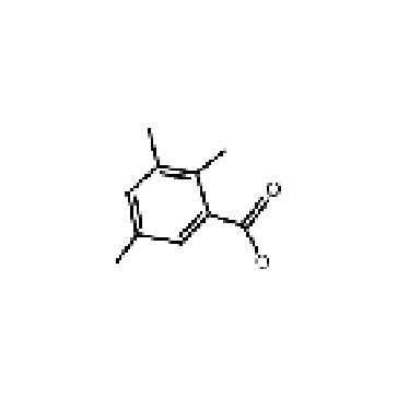 Cc1cc(C)c(C)c(C([O])=O)c1